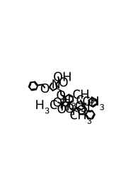 COC(=O)c1c(OC[C@H]2C[C@H](OCc3ccccc3)CN2C(=O)O)cc(C)cc1O[C@H](C)CO[Si](c1ccccc1)(c1ccccc1)C(C)(C)C